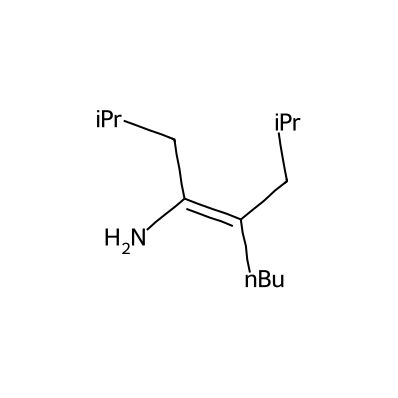 CCCCC(CC(C)C)=C(N)CC(C)C